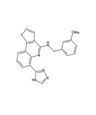 COc1cccc(CNc2nc3c(-c4nnc[nH]4)cccc3c3sccc23)c1